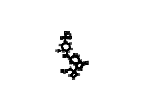 CCC1(c2nc(Cl)c3cnc(N[C@@H]4CCN(S(C)(=O)=O)C[C@H]4F)nn23)CCC1